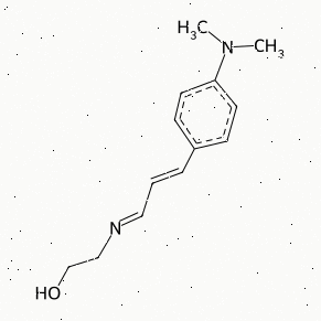 CN(C)c1ccc(/C=C/C=N/CCO)cc1